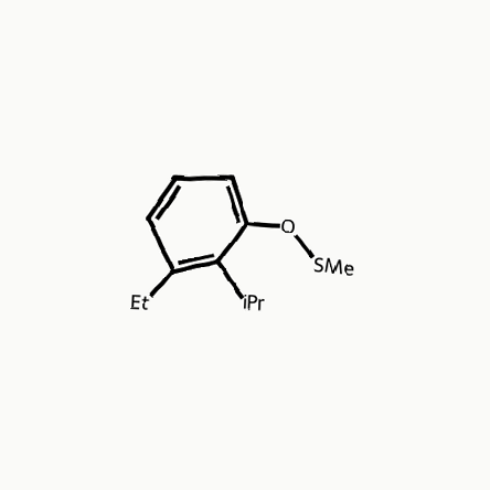 CCc1cccc(OSC)c1C(C)C